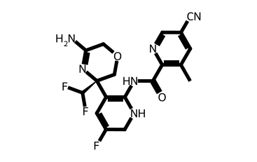 Cc1cc(C#N)cnc1C(=O)NC1=C([C@@]2(C(F)F)COCC(N)=N2)C=C(F)CN1